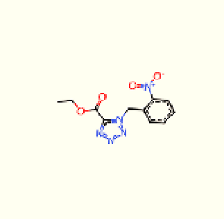 CCOC(=O)c1nnnn1Cc1ccccc1[N+](=O)[O-]